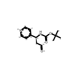 CC(C)(C)OC(=O)N[C@@H](CC=O)c1ccncc1